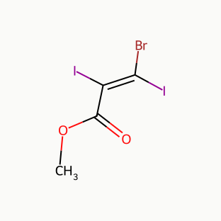 COC(=O)C(I)=C(Br)I